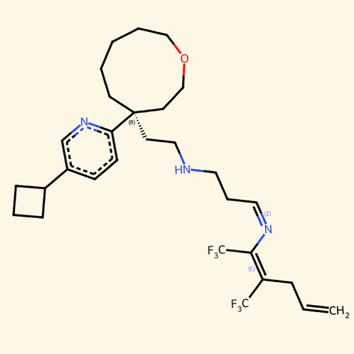 C=CC/C(=C(\N=C/CCNCC[C@]1(c2ccc(C3CCC3)cn2)CCCCCOCC1)C(F)(F)F)C(F)(F)F